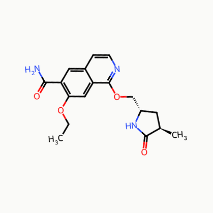 CCOc1cc2c(OC[C@@H]3C[C@@H](C)C(=O)N3)nccc2cc1C(N)=O